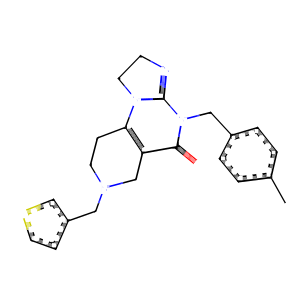 Cc1ccc(CN2C(=O)C3=C(CCN(Cc4ccsc4)C3)N3CCN=C23)cc1